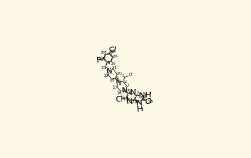 CC[C@H]1CN(c2nc3[nH]c(=O)[nH]c3nc2Cl)CCN1C1CCN(Cc2ccc(Cl)cc2F)CC1